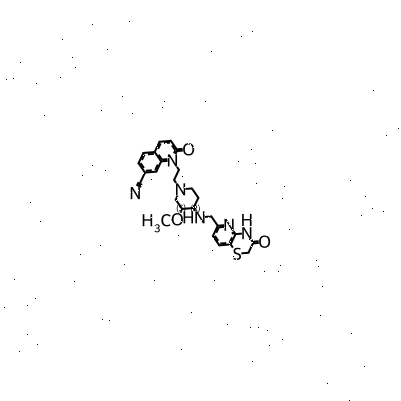 CO[C@H]1CN(CCn2c(=O)ccc3ccc(C#N)cc32)CC[C@H]1NCc1ccc2c(n1)NC(=O)CS2